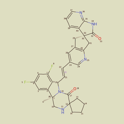 C[C@@]1(c2cc(F)cc(F)c2)CNC2(CCCC2)C(=O)N1C/C=C/c1cnc2c(c1)C[C@@]1(C2)C(=O)Nc2ncccc21